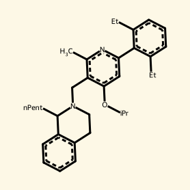 CCCCCC1c2ccccc2CCN1Cc1c(OC(C)C)cc(-c2c(CC)cccc2CC)nc1C